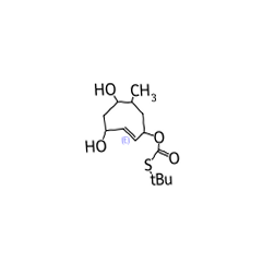 CC1CC(OC(=O)SC(C)(C)C)/C=C/C(O)CC1O